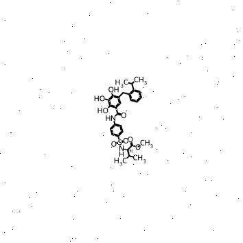 COC(=O)[C@H](NS(=O)(=O)c1ccc(NC(=O)c2cc(Cc3ccccc3C(C)C)c(O)c(O)c2O)cc1)C(C)C